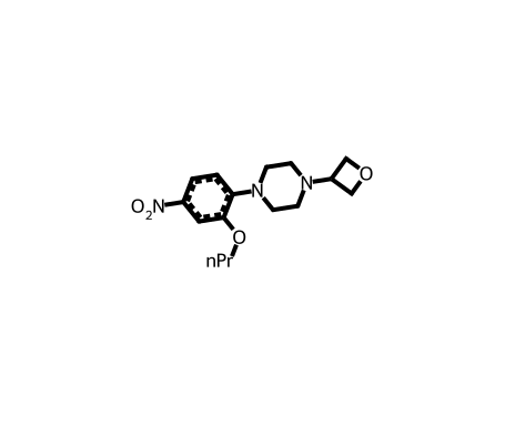 CCCOc1cc([N+](=O)[O-])ccc1N1CCN(C2COC2)CC1